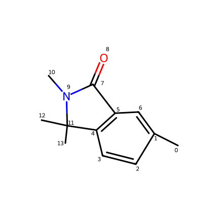 Cc1ccc2c(c1)C(=O)N(C)C2(C)C